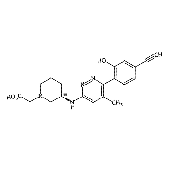 C#Cc1ccc(-c2nnc(N[C@@H]3CCCN(CC(=O)O)C3)cc2C)c(O)c1